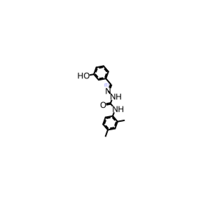 Cc1ccc(NC(=O)N/N=C/c2cccc(O)c2)c(C)c1